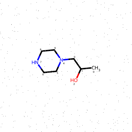 CC(O)CN1[CH]CNCC1